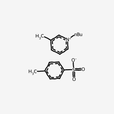 CCCC[n+]1cccc(C)c1.Cc1ccc(S(=O)(=O)[O-])cc1